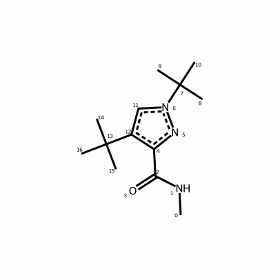 CNC(=O)c1nn(C(C)(C)C)cc1C(C)(C)C